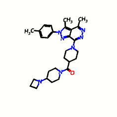 Cc1ccc(-n2nc3c(N4CCC(C(=O)N5CCC(N6CCC6)CC5)CC4)nnc(C)c3c2C)cc1